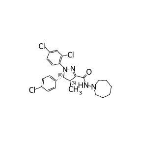 C[C@@H]1C(C(=O)NN2CCCCCC2)=NN(c2ccc(Cl)cc2Cl)[C@H]1c1ccc(Cl)cc1